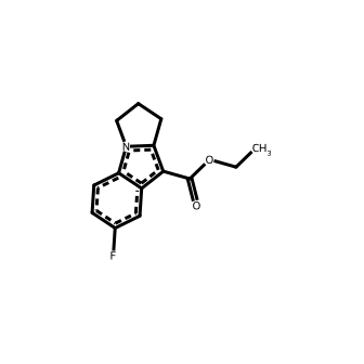 CCOC(=O)c1c2n(c3ccc(F)cc13)CCC2